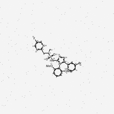 COc1cccc(OC)c1-n1c(NS(=O)(=O)[C@H](C)Cc2ncc(F)cn2)nnc1-c1cc(Br)ccn1